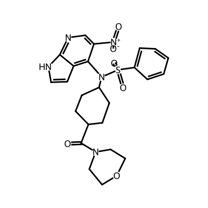 O=C(C1CCC(N(c2c([N+](=O)[O-])cnc3[nH]ccc23)S(=O)(=O)c2ccccc2)CC1)N1CCOCC1